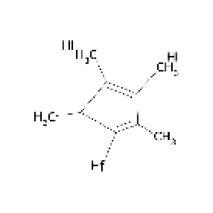 CC1=C(C)C(C)[C]([Hf])=C1C.I.I